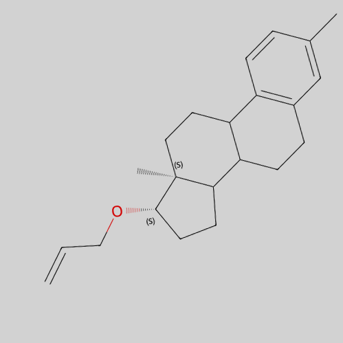 C=CCO[C@H]1CCC2C3CCc4cc(C)ccc4C3CC[C@@]21C